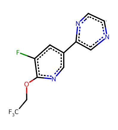 Fc1cc(-c2cn[c]cn2)cnc1OCC(F)(F)F